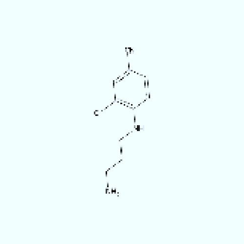 N#Cc1ccc(NCCCN)c(Cl)c1